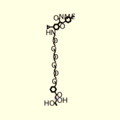 C=C(O)/C(O)=C/C(=O)c1cccc(COCCOCCOCCOCCOCCOCCNc2cc3oc(-c4ccc(F)cc4)c(C(=O)NC)c3cc2C2CC2)c1